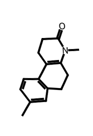 Cc1ccc2c(c1)CCC1=C2CCC(=O)N1C